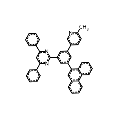 Cc1ccc(-c2cc(-c3nc(-c4ccccc4)cc(-c4ccccc4)n3)cc(-c3cc4ccccc4c4ccccc34)c2)cn1